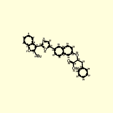 CCC(C)c1oc2ccccc2c1-c1ncc(-c2ccc3cc(OC(Cc4ccccc4)C(=O)OC)ccc3c2)o1